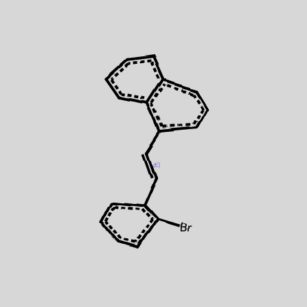 Brc1ccccc1/C=C/c1cccc2ccccc12